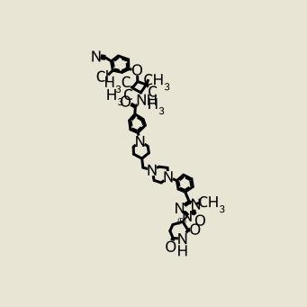 Cn1c(-c2cccc(N3CCN(CC4CCN(c5ccc(C(=O)NC6C(C)(C)C(Oc7ccc(C#N)c(Cl)c7)C6(C)C)cc5)CC4)CC3)c2)nn([C@@H]2CCC(=O)NC2=O)c1=O